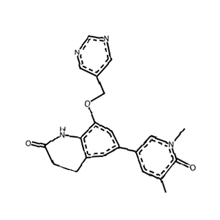 Cc1cc(-c2cc3c(c(OCc4cncnc4)c2)NC(=O)CC3)cn(C)c1=O